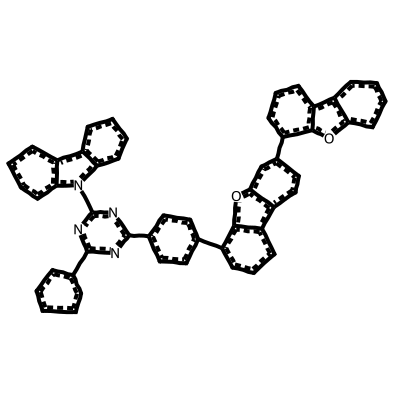 c1ccc(-c2nc(-c3ccc(-c4cccc5c4oc4cc(-c6cccc7c6oc6ccccc67)ccc45)cc3)nc(-n3c4ccccc4c4ccccc43)n2)cc1